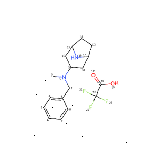 CN(Cc1ccccc1)C1CC2CCC(C1)N2.O=C(O)C(F)(F)F